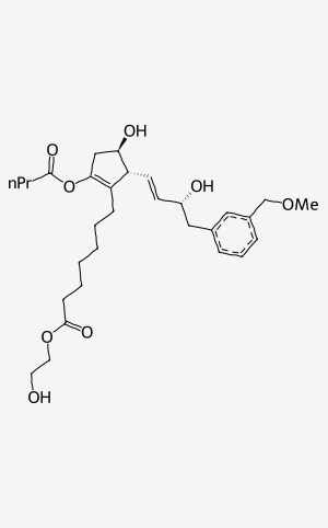 CCCC(=O)OC1=C(CCCCCCC(=O)OCCO)[C@@H](/C=C/[C@H](O)Cc2cccc(COC)c2)[C@H](O)C1